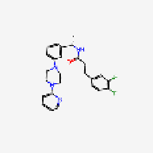 C[C@H](NC(=O)CCc1ccc(F)c(F)c1)c1cccc(N2CCN(c3ccccn3)CC2)c1